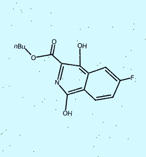 CCCCOC(=O)c1nc(O)c2ccc(F)cc2c1O